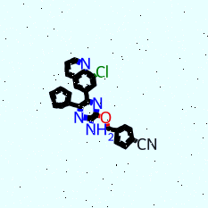 N#Cc1ccc(COc2nc(-c3cc(Cl)c4ncccc4c3)c(-c3ccccc3)nc2N)cc1